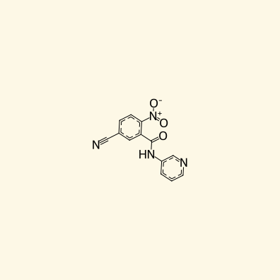 N#Cc1ccc([N+](=O)[O-])c(C(=O)Nc2cccnc2)c1